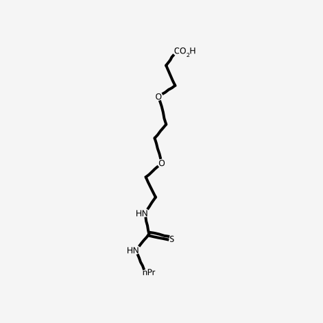 CCCNC(=S)NCCOCCOCCC(=O)O